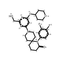 O=C1CCCC2(CCN(c3cc(OC4CCOCC4)nc(CO)n3)CC2)N1c1ccc(F)c(F)c1